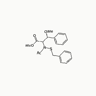 COC(=O)C(C(OC)c1ccccc1)N(SCc1ccccc1)C(C)=O